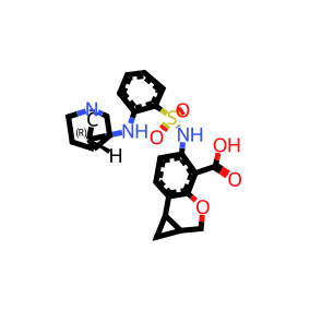 O=C(O)c1c(NS(=O)(=O)c2ccccc2N[C@H]2CN3CCC2CC3)ccc2c1OCC1CC21